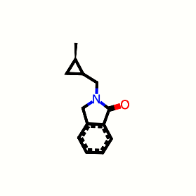 C[C@@H]1CC1CN1Cc2ccccc2C1=O